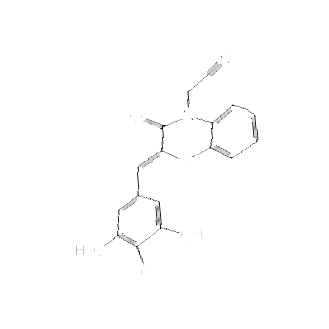 Cc1cc(C=C2Sc3ccccc3N(CC#N)C2=O)cc(C)c1O